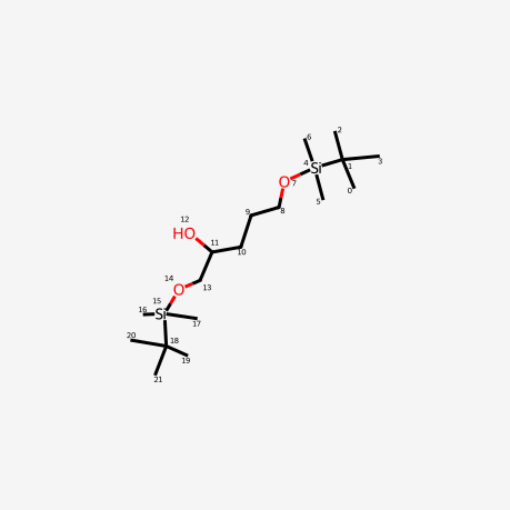 CC(C)(C)[Si](C)(C)OCCCC(O)CO[Si](C)(C)C(C)(C)C